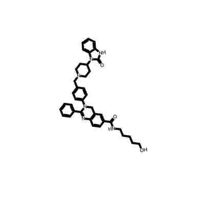 O=C(NCCCCCO)c1ccc2c(c1)CN(c1ccc(CN3CCC(n4c(=O)[nH]c5ccccc54)CC3)cc1)C(c1ccccc1)=N2